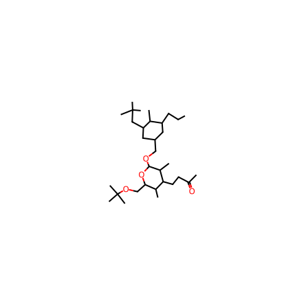 CCCC1CC(COC2OC(COC(C)(C)C)C(C)C(CCC(C)=O)C2C)CC(CC(C)(C)C)C1C